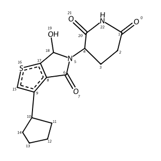 O=C1CCC(N2C(=O)c3c(C4CCCC4)csc3C2O)C(=O)N1